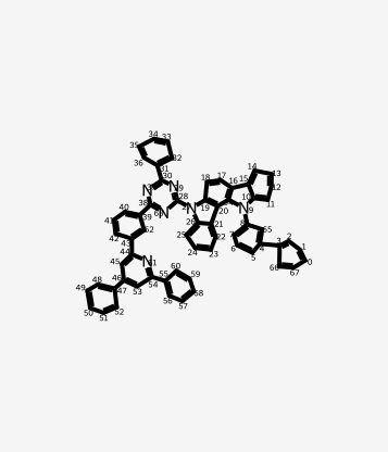 c1ccc(-c2cccc(-n3c4ccccc4c4ccc5c(c6ccccc6n5-c5nc(-c6ccccc6)nc(-c6cccc(-c7cc(-c8ccccc8)cc(-c8ccccc8)n7)c6)n5)c43)c2)cc1